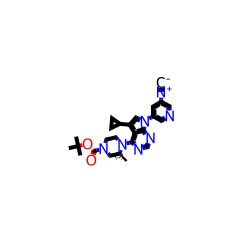 [C-]#[N+]c1cncc(-n2cc(C3CC3)c3c(N4CCN(C(=O)OC(C)(C)C)C[C@@H]4C)ncnc32)c1